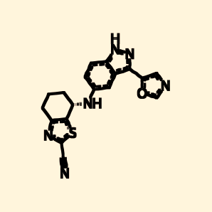 N#Cc1nc2c(s1)[C@@H](Nc1ccc3[nH]nc(-c4cnco4)c3c1)CCC2